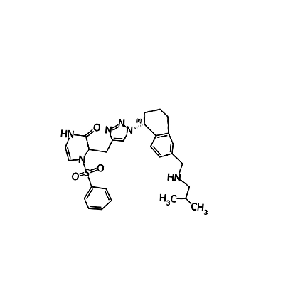 CC(C)CNCc1ccc2c(c1)CCC[C@H]2n1cc(CC2C(=O)NC=CN2S(=O)(=O)c2ccccc2)nn1